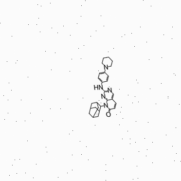 O=c1ccc2cnc(Nc3ccc(N4CCCCC4)cc3)nc2n1C1C2CC3CC(C2)CC1C3